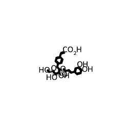 O=C(O)C=Cc1ccc(C2O[C@H](CO)[C@@H](O)[C@H](O)[C@H]2OC(=O)C=Cc2ccc(O)c(O)c2)cc1